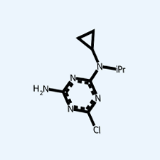 CC(C)N(c1nc(N)nc(Cl)n1)C1CC1